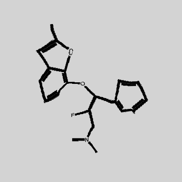 Cc1cc2cccc(OC(c3ccccc3)C(F)CN(C)C)c2o1